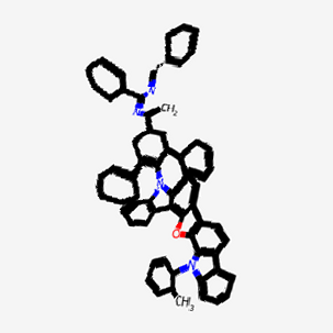 C=C(/N=C(\N=C\[C@H]1CC=CCC1)C1C=CCCC1)C1CC(C2=CCCCC2)=C(n2c3c#cccc3c3c4oc5c(ccc6c7ccccc7n(C7C=CC=CC7C)c65)c4ccc32)C(C2C=CC=CC2)C1